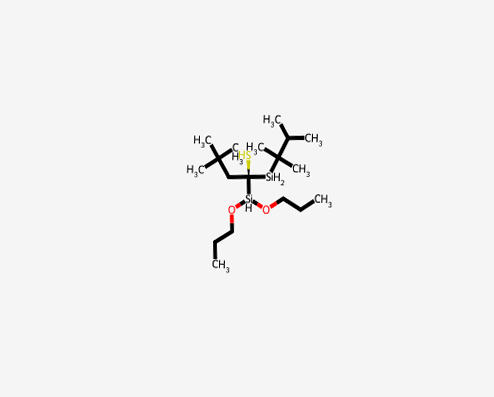 CCCO[SiH](OCCC)[C@](S)(CC(C)(C)C)[SiH2]C(C)(C)C(C)C